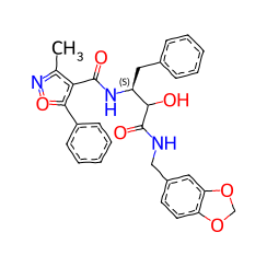 Cc1noc(-c2ccccc2)c1C(=O)N[C@@H](Cc1ccccc1)C(O)C(=O)NCc1ccc2c(c1)OCO2